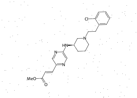 COC(=O)/C=C/c1cnc(N[C@@H]2CCCN(CCc3ccccc3Cl)C2)cn1